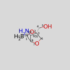 B[C@@H]1O[C@@]2(CO)COC1C2N